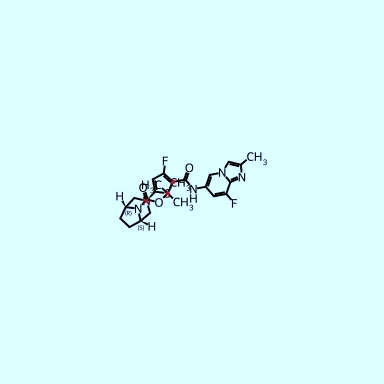 Cc1cn2cc(NC(=O)c3sc(N4C[C@H]5CC[C@@H](C4)N5C(=O)OC(C)(C)C)cc3F)cc(F)c2n1